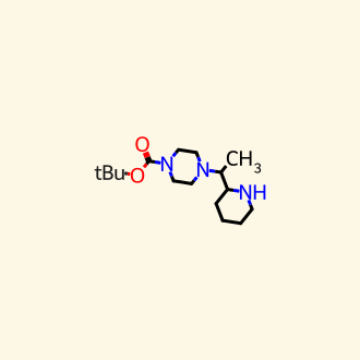 CC(C1CCCCN1)N1CCN(C(=O)OC(C)(C)C)CC1